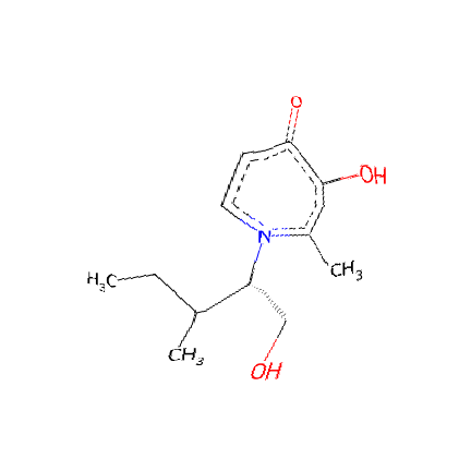 CCC(C)[C@@H](CO)n1ccc(=O)c(O)c1C